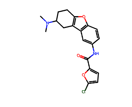 CN(C)C1CCc2oc3ccc(NC(=O)c4ccc(Cl)o4)cc3c2C1